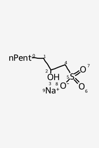 CCCCCCC(O)CS(=O)(=O)[O-].[Na+]